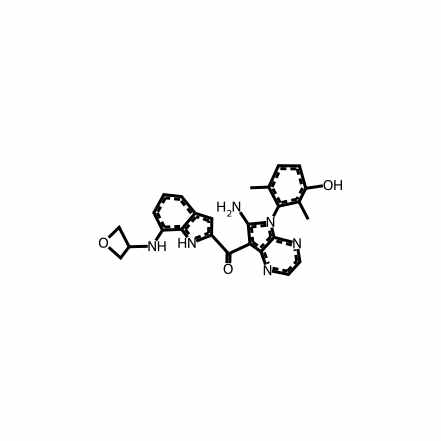 Cc1ccc(O)c(C)c1-n1c(N)c(C(=O)c2cc3cccc(NC4COC4)c3[nH]2)c2nccnc21